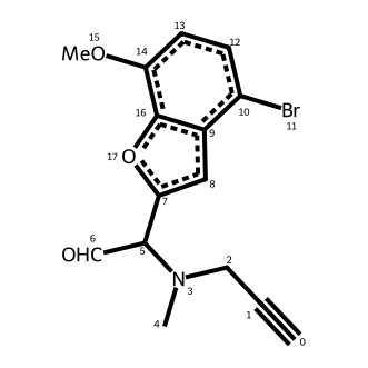 C#CCN(C)C(C=O)c1cc2c(Br)ccc(OC)c2o1